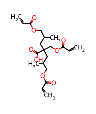 C=CC(=O)OCC(C)CC(COC(=O)C=C)(CC(C)COC(=O)C=C)C(=O)O